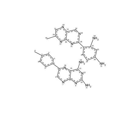 Cc1ccc(-c2cnc3nc(N)nc(N)c3n2)cc1.Cc1cnc2cnc(-c3ccc(N)cc3N)nc2n1